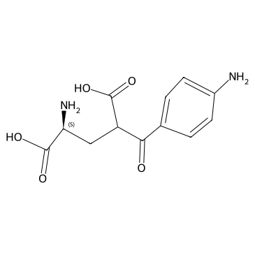 Nc1ccc(C(=O)C(C[C@H](N)C(=O)O)C(=O)O)cc1